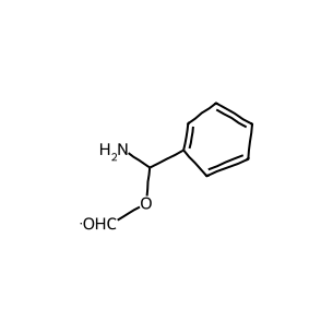 NC(O[C]=O)c1ccccc1